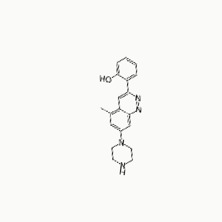 Cc1cc(N2CCNCC2)cc2nnc(-c3ccccc3O)cc12